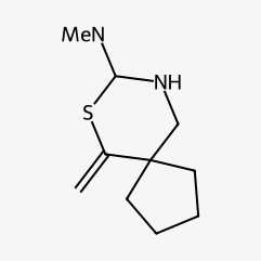 C=C1SC(NC)NCC12CCCC2